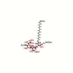 CCCCCCCCCCCCC/C=C/[C@@H](O)[C@H](CO[C@@H]1OC(CO)[C@H](O)[C@H](O[C@]2(C(=O)O)CC(O)[C@@H](NC(C)=O)C([C@H](O)[C@H](O)CO)O2)C1O)NC(=O)CCCCCCCCCCCCCCCCCCCCCCCCC